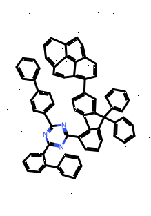 c1ccc(-c2ccc(-c3nc(-c4ccccc4-c4ccccc4)nc(-c4cccc5c4-c4ccc(-c6ccc7ccc8cccc9ccc6c7c89)cc4C5(c4ccccc4)c4ccccc4)n3)cc2)cc1